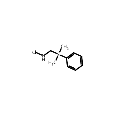 C[Si](C)(CNCl)c1ccccc1